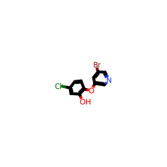 Oc1cc(Cl)ccc1Oc1cncc(Br)c1